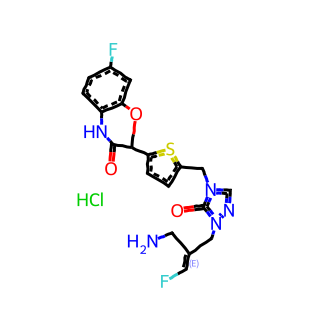 Cl.NC/C(=C\F)Cn1ncn(Cc2ccc(C3Oc4cc(F)ccc4NC3=O)s2)c1=O